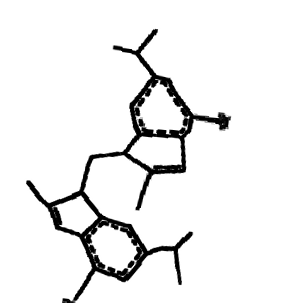 CC1=Cc2c(Br)cc(C(C)C)cc2C1CC1C(C)=Cc2c(Br)cc(C(C)C)cc21